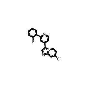 Fc1ccccc1-c1cc(-c2cnc3cc(Cl)ccn23)ccn1